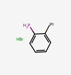 Br.CC(C)c1ccccc1P